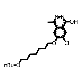 CCCCOCCCCCCCOc1cc2c(C)nnc(O)c2cc1Cl